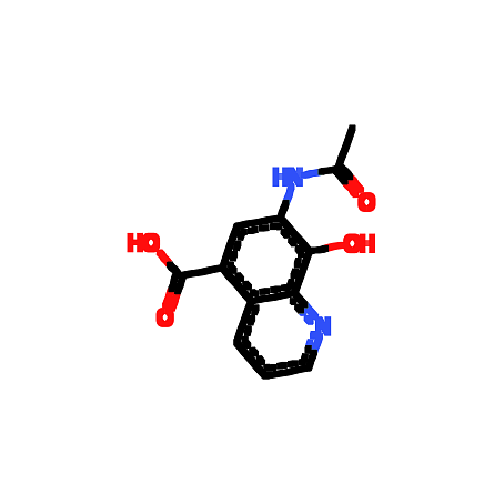 CC(=O)Nc1cc(C(=O)O)c2cccnc2c1O